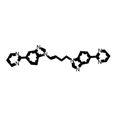 C(=Cn1cnc2cc(-c3ncccn3)ccc21)CCn1cnc2cc(-c3ncccn3)ccc21